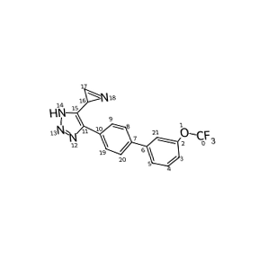 FC(F)(F)Oc1cccc(-c2ccc(-c3nn[nH]c3C3C=N3)cc2)c1